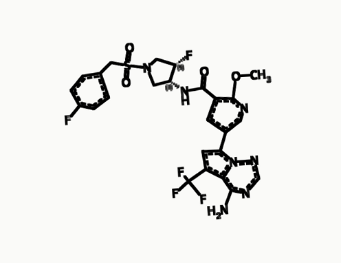 COc1ncc(-c2cc(C(F)(F)F)c3c(N)ncnn23)cc1C(=O)N[C@@H]1CN(S(=O)(=O)Cc2ccc(F)cc2)C[C@@H]1F